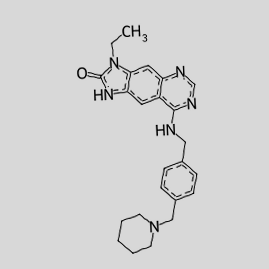 CCn1c(=O)[nH]c2cc3c(NCc4ccc(CN5CCCCC5)cc4)ncnc3cc21